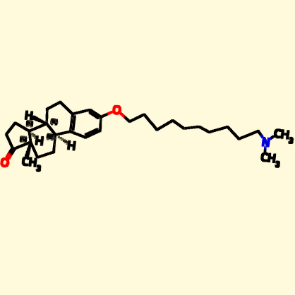 CN(C)CCCCCCCCCCOc1ccc2c(c1)CC[C@@H]1[C@@H]2CC[C@]2(C)C(=O)CC[C@@H]12